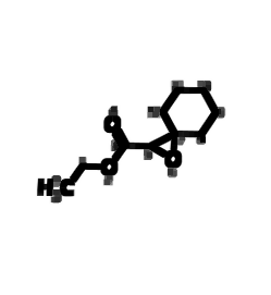 CCOC(=O)C1OC12CCCCC2